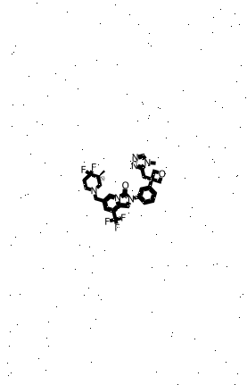 C[C@H]1CN(Cc2cc(C(F)(F)F)c3cn(-c4cccc(C5(Cc6nncn6C)COC5)c4)c(=O)n3c2)CCC1(F)F